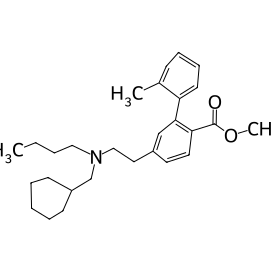 CCCCN(CCc1ccc(C(=O)OC)c(-c2ccccc2C)c1)CC1CCCCC1